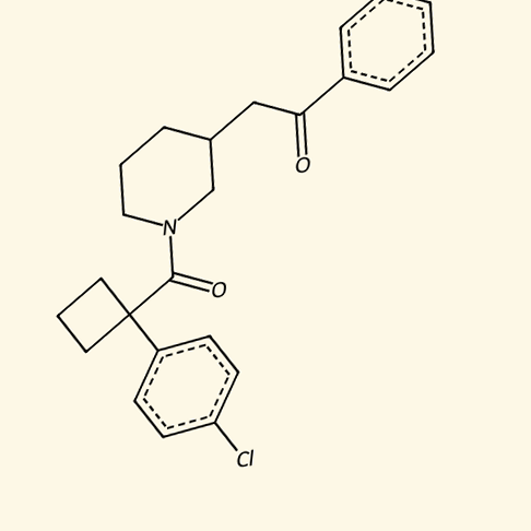 O=C(CC1CCCN(C(=O)C2(c3ccc(Cl)cc3)CCC2)C1)c1ccccc1